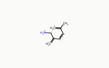 C=C(C)/C=C\C(=C)CN